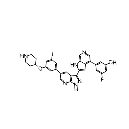 Oc1cc(F)cc(-c2cncc3[nH]c(-c4n[nH]c5ncc(-c6cc(I)cc(OC7CCNCC7)c6)cc45)cc23)c1